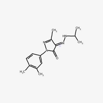 CC1=NN(c2ccc(C)c(C)c2)C(=O)/C1=N/NC(C)C